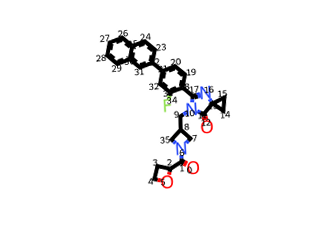 O=C(C1CCO1)N1CC(CN2C(=O)C3(CC3)N=C2c2ccc(-c3ccc4ccccc4c3)cc2F)C1